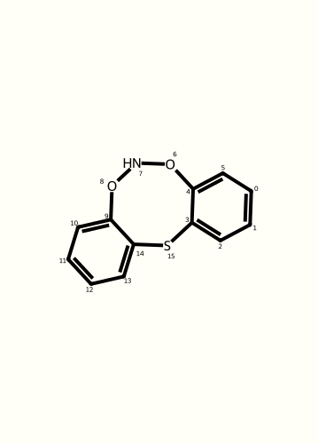 c1ccc2c(c1)ONOc1ccccc1S2